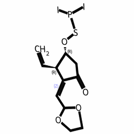 C=C[C@@H]1/C(=C/C2OCCO2)C(=O)C[C@H]1OSP(I)I